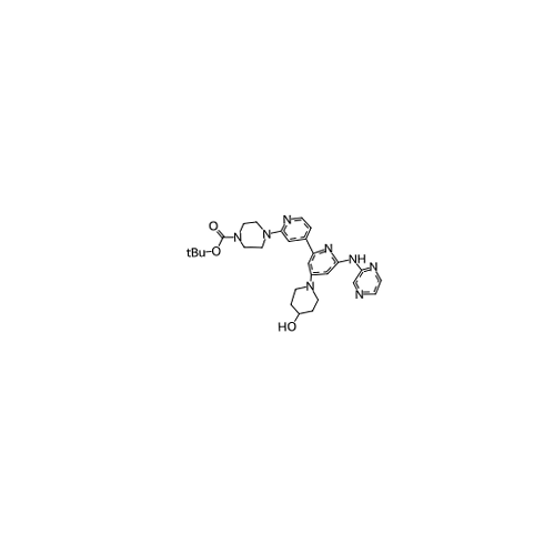 CC(C)(C)OC(=O)N1CCN(c2cc(-c3cc(N4CCC(O)CC4)cc(Nc4cnccn4)n3)ccn2)CC1